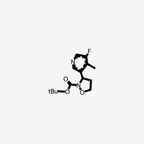 Cc1c(F)cncc1C1CCON1C(=O)OC(C)(C)C